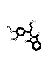 CCOc1ccc(C(CCO)N2C(=O)c3ccccc3C2=O)cc1OCC